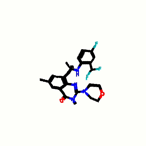 Cc1cc([C@@H](C)Nc2ccc(F)cc2C(F)F)c2nc(N3CCOCC3)n(C)c(=O)c2c1